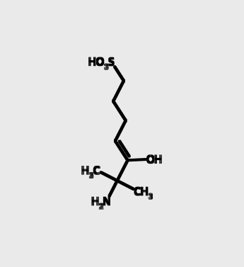 CC(C)(N)C(O)=CCCCS(=O)(=O)O